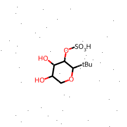 CC(C)(C)C1OCC(O)C(O)C1OS(=O)(=O)O